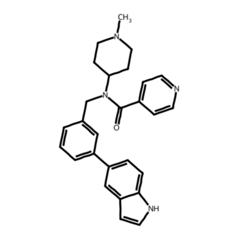 CN1CCC(N(Cc2cccc(-c3ccc4[nH]ccc4c3)c2)C(=O)c2ccncc2)CC1